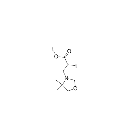 CC1(C)COCN1CC(I)C(=O)OI